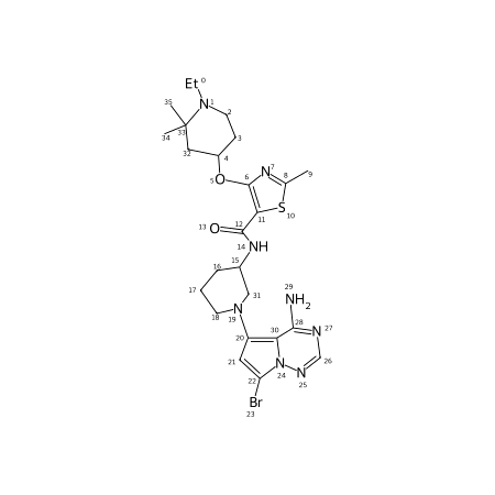 CCN1CCC(Oc2nc(C)sc2C(=O)NC2CCCN(c3cc(Br)n4ncnc(N)c34)C2)CC1(C)C